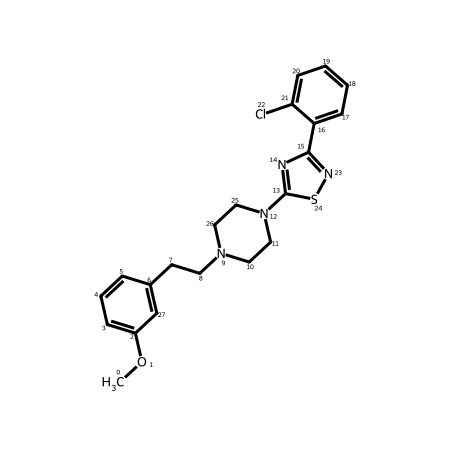 COc1cccc(CCN2CCN(c3nc(-c4ccccc4Cl)ns3)CC2)c1